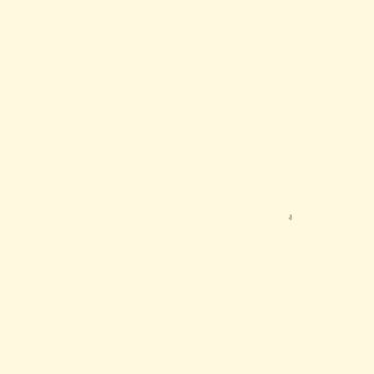 O=S1(=O)Cc2c(cccc2-c2ccc(Oc3cccc(C(F)(F)F)c3)cc2)CN1